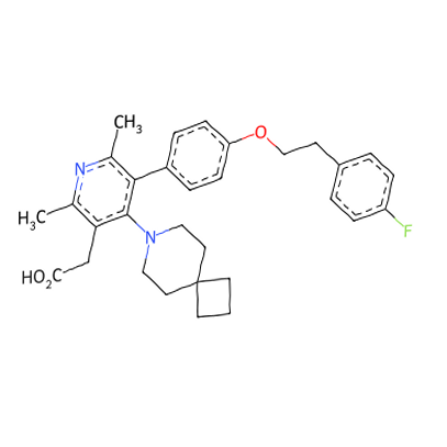 Cc1nc(C)c(-c2ccc(OCCc3ccc(F)cc3)cc2)c(N2CCC3(CCC3)CC2)c1CC(=O)O